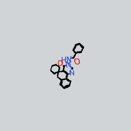 O=C(Nn1cnc2c(c1=O)C1(CCCCC1)Cc1ccccc1-2)c1ccccc1